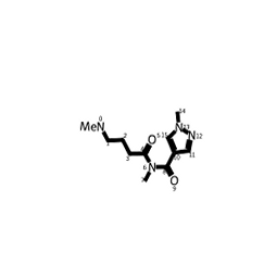 CNCCCC(=O)N(C)C(=O)c1cnn(C)c1